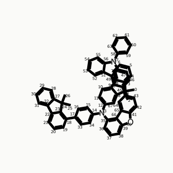 CC1(C)c2ccccc2-c2ccc(N(c3ccc(-c4cccc5c4C(C)(C)c4ccccc4-5)cc3)c3cccc4oc5ccc(-c6ccc7c(c6)c6ccccc6n7-c6ccccc6)cc5c34)cc21